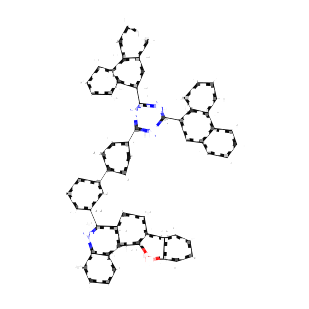 c1cc(-c2ccc(-c3nc(-c4cc5ccccc5c5ccccc45)nc(-c4cc5ccccc5c5ccccc45)n3)cc2)cc(-c2nc3ccccc3c3c2ccc2c4ccccc4oc23)c1